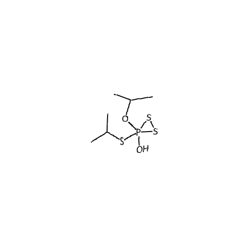 CC(C)OP1(O)(SC(C)C)SS1